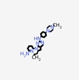 C=CCc1cc2cnc(Nc3ccc(N4CCN(C)CC4)cc3)nc2n1-c1cccc(N)n1